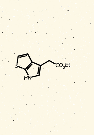 CCOC(=O)Cc1c[nH]c2sccc12